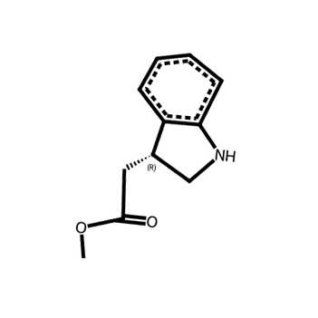 COC(=O)C[C@H]1CNc2ccccc21